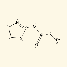 CC(C)CC(=O)OC1=NCCS1